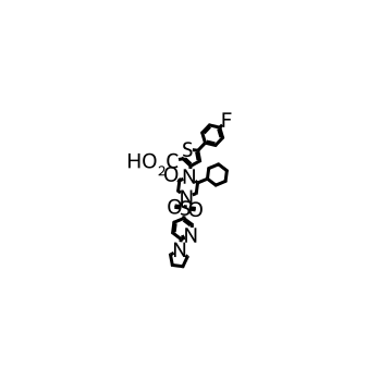 O=C(O)c1sc(-c2ccc(F)cc2)cc1N1C(=O)CN(S(=O)(=O)c2ccc(N3CCCC3)nc2)CC1C1CCCCC1